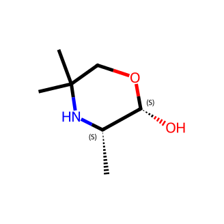 C[C@@H]1NC(C)(C)CO[C@@H]1O